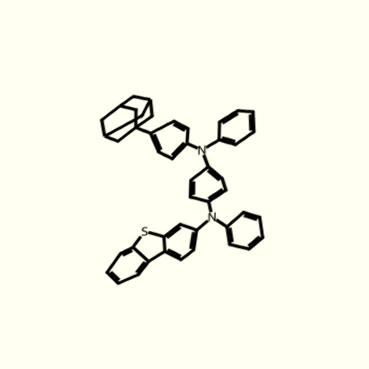 c1ccc(N(c2ccc(N(c3ccccc3)c3ccc4c(c3)sc3ccccc34)cc2)c2ccc(C34CC5CC(CC(C5)C3)C4)cc2)cc1